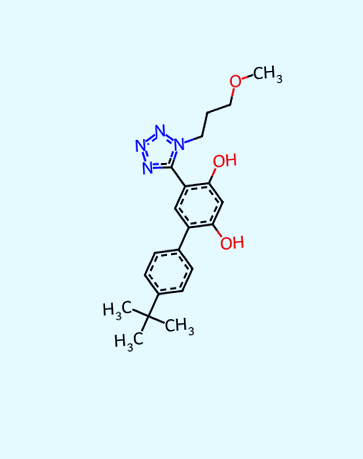 COCCCn1nnnc1-c1cc(-c2ccc(C(C)(C)C)cc2)c(O)cc1O